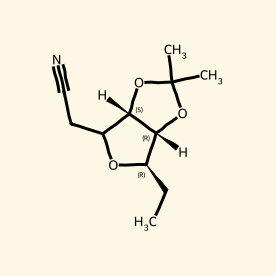 CC[C@H]1OC(CC#N)[C@@H]2OC(C)(C)O[C@H]12